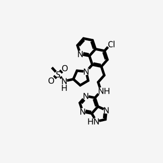 CS(=O)(=O)NC1CCN(c2c(CCNc3ncnc4[nH]cnc34)cc(Cl)c3cccnc23)C1